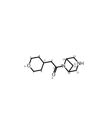 O=C(CC1CCOCC1)N1C2CNCC1C2